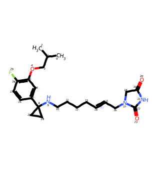 CC(C)COc1cc(C2(NCCCC/C=C/CN3CC(=O)NC3=O)CC2)ccc1F